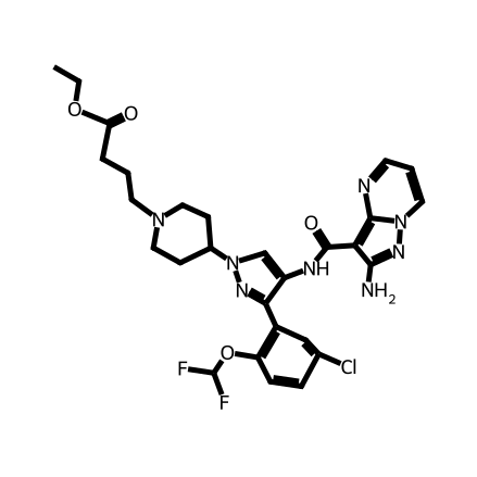 CCOC(=O)CCCN1CCC(n2cc(NC(=O)c3c(N)nn4cccnc34)c(-c3cc(Cl)ccc3OC(F)F)n2)CC1